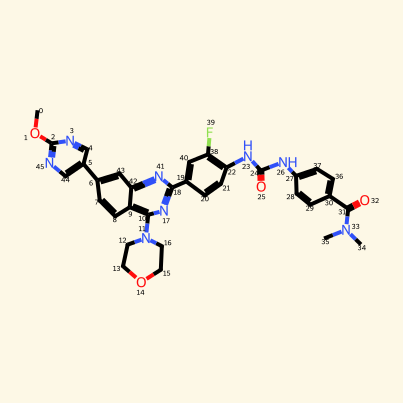 COc1ncc(-c2ccc3c(N4CCOCC4)nc(-c4ccc(NC(=O)Nc5ccc(C(=O)N(C)C)cc5)c(F)c4)nc3c2)cn1